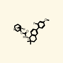 COc1ccc(-c2ccc3c(c2)CCC(C)(C)[C@H]3NC(=O)O[C@@H]2CN3CCC2CC3)c(F)c1